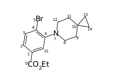 CCOC(=O)c1ccc(Br)c(N2CCC3(CC2)CC3)c1